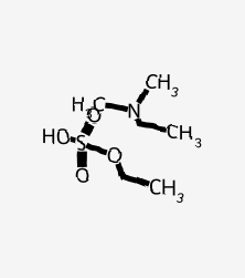 CCN(C)C.CCOS(=O)(=O)O